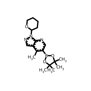 Cc1c(B2OC(C)(C)C(C)(C)O2)cnc2c1cnn2C1CCCCO1